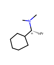 CCC[C@H](C1CCCCC1)N(C)C